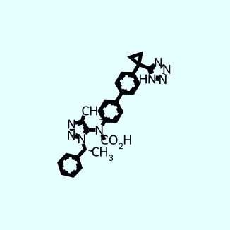 Cc1nnn([C@H](C)c2ccccc2)c1N(C(=O)O)c1ccc(-c2ccc(C3(c4nnn[nH]4)CC3)cc2)cc1